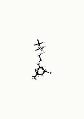 CC(C)(C)[Si](C)(C)OCCOc1cc(I)cc(Cl)n1